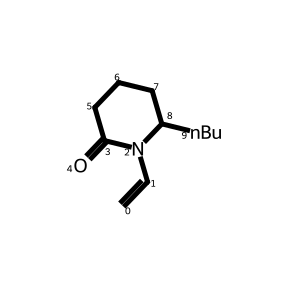 C=CN1C(=O)CCCC1CCCC